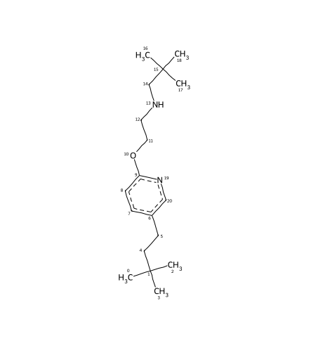 CC(C)(C)CCc1ccc(OCCNCC(C)(C)C)nc1